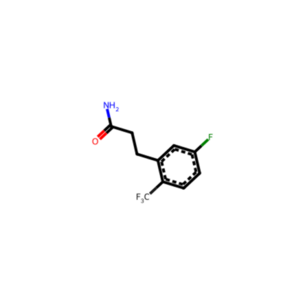 NC(=O)CCc1cc(F)ccc1C(F)(F)F